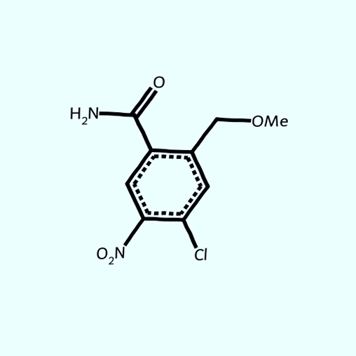 COCc1cc(Cl)c([N+](=O)[O-])cc1C(N)=O